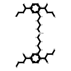 CCCC(C)c1ccc(C(C)CCC)c(CCCCOCCCCc2cc(C(C)CCC)ccc2C(C)CCC)c1